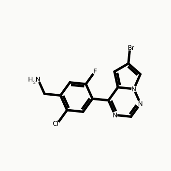 NCc1cc(F)c(-c2ncnn3cc(Br)cc23)cc1Cl